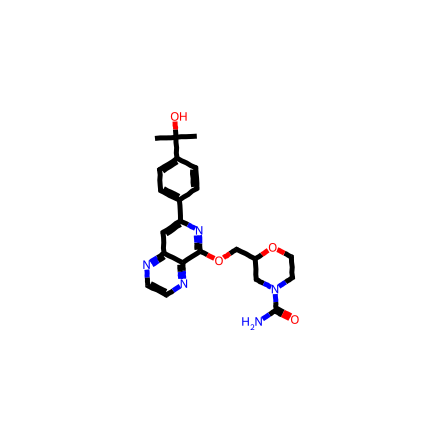 CC(C)(O)c1ccc(-c2cc3nccnc3c(OCC3CN(C(N)=O)CCO3)n2)cc1